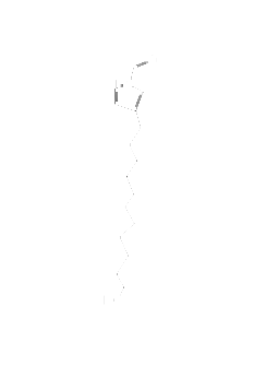 CCCCCCCCCCCCC1=C[SH](C=O)C=C1